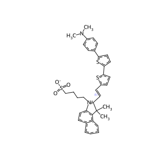 CN(C)c1ccc(-c2ccc(-c3ccc(/C=C/C4=[N+](CCCCS(=O)(=O)[O-])c5ccc6ccccc6c5C4(C)C)s3)s2)cc1